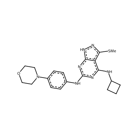 CSc1n[nH]c2nc(Nc3ccc(N4CCOCC4)cc3)nc(NC3CCC3)c12